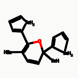 [SeH]C1=C(C2=CC=C[SeH2]2)OC([SeH])(C2=CC=C[SeH2]2)C=C1